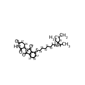 C=CCC(CC)(CC)NCCCCCCSc1cccc2c1C(=O)N(C1CCC(=O)NC1=O)C2=O